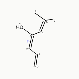 C=C/C=C(/O)C=C(C)C